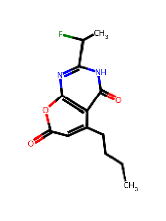 CCCCc1cc(=O)oc2nc(C(C)F)[nH]c(=O)c12